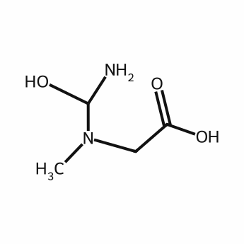 CN(CC(=O)O)C(N)O